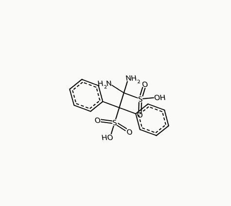 NC(N)(C(c1ccccc1)(c1ccccc1)S(=O)(=O)O)S(=O)(=O)O